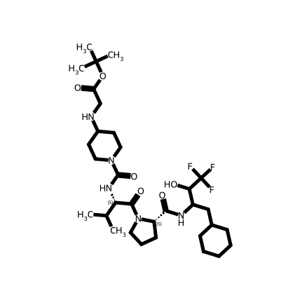 CC(C)[C@H](NC(=O)N1CCC(NCC(=O)OC(C)(C)C)CC1)C(=O)N1CCC[C@H]1C(=O)NC(CC1CCCCC1)C(O)C(F)(F)F